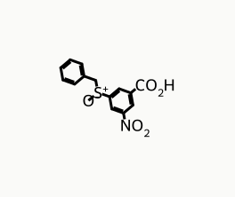 O=C(O)c1cc([N+](=O)[O-])cc([S+]([O-])Cc2ccccc2)c1